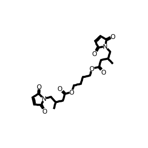 CC(CC(=O)OCCCCOC(=O)CC(C)CN1C(=O)C=CC1=O)CN1C(=O)C=CC1=O